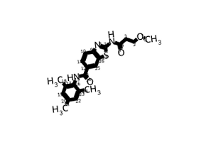 COCCC(=O)Nc1nc2ccc(C(=O)Nc3c(C)cc(C)cc3C)cc2s1